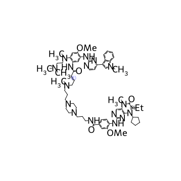 CC[C@@H]1C(=O)N(C)c2cnc(Nc3ccc(C(=O)NCCCN4CCN(CCCN(C)C/C=C/C(=O)Nc5cc(Nc6nccc(-c7cn(C)c8ccccc78)n6)c(OC)cc5N(C)CCN(C)C)CC4)cc3OC)nc2N1C1CCCC1